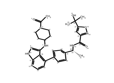 CC(=O)N1CCC(Nc2n[nH]c3nccc(-c4ccc([C@@H](C)NC(=O)c5cc(C(C)(C)O)on5)cc4)c23)CC1